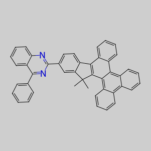 CC1(C)c2cc(-c3nc(-c4ccccc4)c4ccccc4n3)ccc2-c2c1c1c3ccccc3c3ccccc3c1c1ccccc21